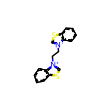 c1ccc2c(c1)sc[n+]2CC[n+]1csc2ccccc21